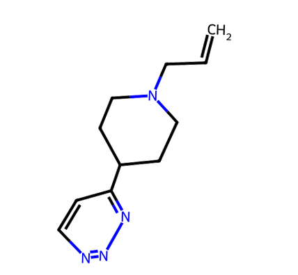 C=CCN1CCC(c2ccnnn2)CC1